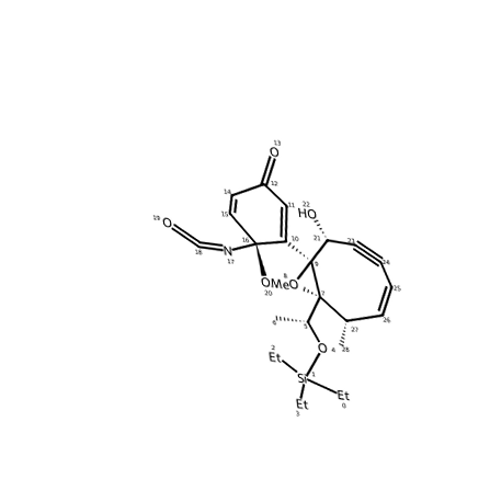 CC[Si](CC)(CC)O[C@H](C)[C@@]12O[C@@]1(C1=CC(=O)C=C[C@]1(N=C=O)OC)[C@H](O)C#C/C=C\[C@@H]2C